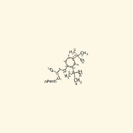 CCCCCOC([O])COc1ccc(C(C)(C)CC)cc1C(C)(C)CC